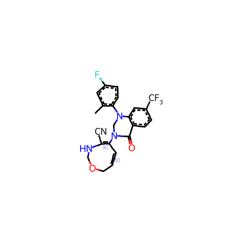 Cc1cc(F)ccc1N1CN(C2=C(\C#N)NCOC/C=C\2)C(=O)c2ccc(C(F)(F)F)cc21